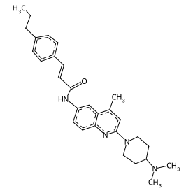 CCCc1ccc(/C=C/C(=O)Nc2ccc3nc(N4CCC(N(C)C)CC4)cc(C)c3c2)cc1